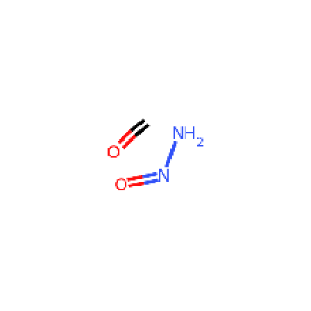 C=O.NN=O